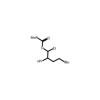 CCCC(CCC(C)CC)C(CC)OC(=O)NC